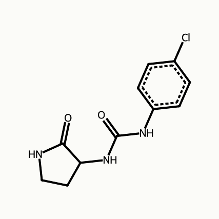 O=C(Nc1ccc(Cl)cc1)NC1CCNC1=O